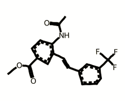 COC(=O)c1ccc(NC(C)=O)c(/C=C/c2cccc(C(F)(F)F)c2)c1